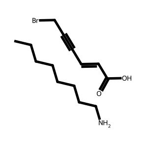 CCCCCCCCN.O=C(O)C=CC#CCBr